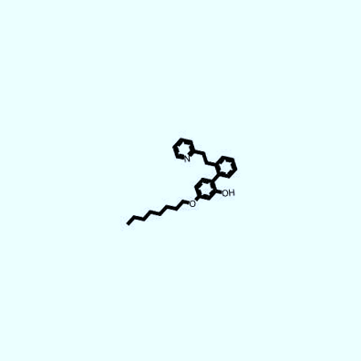 CCCCCCCCOc1ccc(-c2ccccc2CCc2ccccn2)c(O)c1